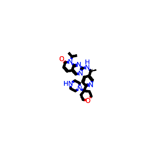 CC(C)n1c(=O)ccc2cnc(N[C@@H](C)c3ccc(C4(N5CCNCC5)CCOCC4)nc3)nc21